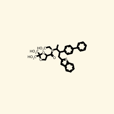 CC(C(Cc1cc2ccccc2s1)c1ccc(-c2ccccc2)cc1)N(CC(=O)O)C(=O)C1COC(C(=O)O)(C(=O)O)O1